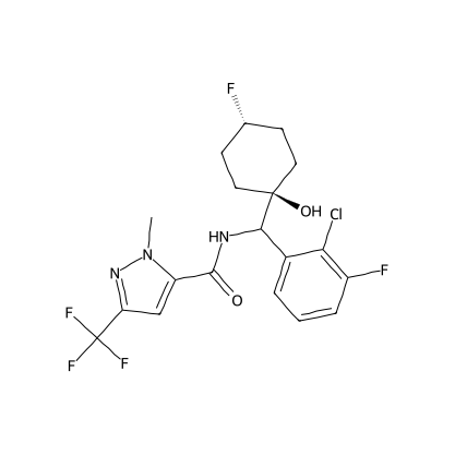 Cn1nc(C(F)(F)F)cc1C(=O)NC(c1cccc(F)c1Cl)[C@]1(O)CC[C@H](F)CC1